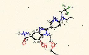 CCOCCn1c(-c2ccc(N(CC)CC(F)(F)F)nc2)nc2cc(C(=O)NC)cc(O)c21